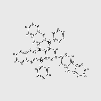 c1ccc(N2c3cc4ccccc4cc3B3c4cc5ccccc5cc4N(c4ccccc4)c4cc(-c5ccc6c(c5)oc5ccccc56)cc2c43)cc1